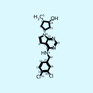 [CH2][C@H]1C[C@@H](n2ccc3c(NCc4ccc(Cl)c(Cl)c4)ncnc32)C[C@@H]1O